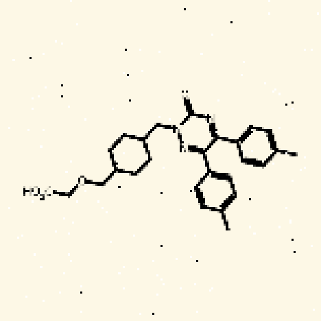 Cc1ccc(-c2nc(=O)n(CC3CCC(COCC(=O)O)CC3)nc2-c2ccc(C)cc2)cc1